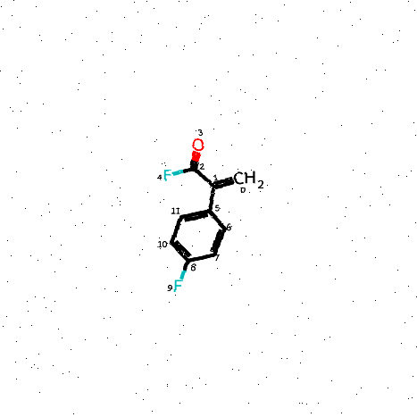 C=C(C(=O)F)c1ccc(F)cc1